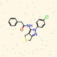 O=C(Cc1ccccc1)Nc1c2c(nn1-c1ccc(Cl)cc1)CSC2